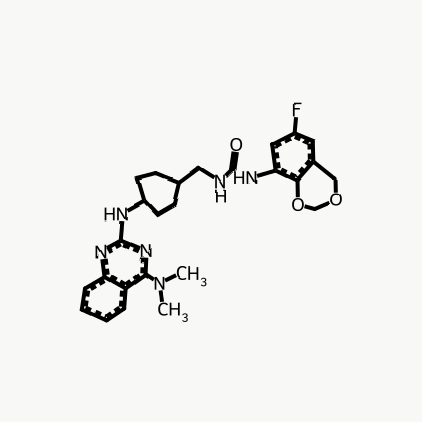 CN(C)c1nc(NC2CCC(CNC(=O)Nc3cc(F)cc4c3OCOC4)CC2)nc2ccccc12